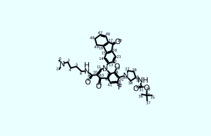 CN(C)CCCCNC(=O)c1cn2c3cc4c5c(c(=O)c4cc3oc3c(N4CC[C@H](NC(=O)OC(C)(C)C)C4)c(F)cc(c1=O)c32)C=CCC5